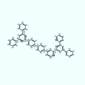 c1ccc(-c2cc(-c3ccccn3)nc(-c3cc(-c4ccc(-c5ccc(-c6nc(-c7ccccc7)cc(-c7ccccc7)n6)cc5)cc4)ccn3)c2)cc1